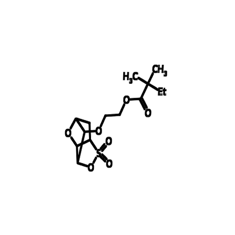 CCC(C)(C)C(=O)OCCOC1C2CC3C(O2)C1OS3(=O)=O